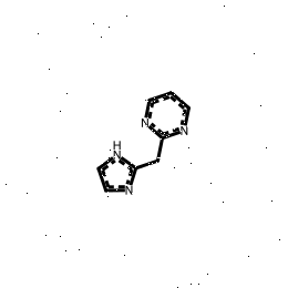 [c]1ccnc(Cc2ncc[nH]2)n1